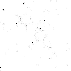 Cn1nc(-n2ccc(=O)[nH]c2=O)c2ccc(C3CCCNC3)cc21